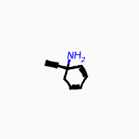 C#CC1(N)C=CC=CC1